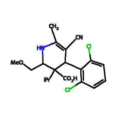 COCC1NC(C)=C(C#N)C(c2c(Cl)cccc2Cl)C1(C(=O)O)C(C)C